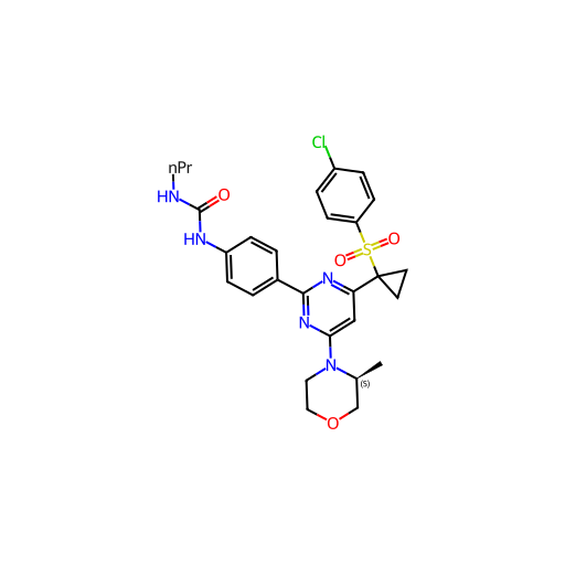 CCCNC(=O)Nc1ccc(-c2nc(N3CCOC[C@@H]3C)cc(C3(S(=O)(=O)c4ccc(Cl)cc4)CC3)n2)cc1